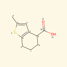 Cc1cc2c(s1)CCCC2C(=O)O